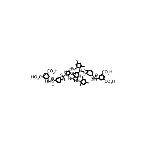 Cc1cc(C)c(Nc2nc(N(c3nc4c(s3)CC(S(=O)(=O)Nc3cc(C(=O)O)cc(C(=O)O)c3)C=C4)c3c(C)cc(C)cc3C)cc(C)c2/N=N\c2c(C#N)c(C(C)(C)C)nn2-c2nc3ccc(S(=O)(=O)Nc4cc(C(=O)O)cc(C(=O)O)c4)cc3s2)c(C)c1